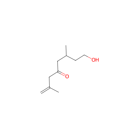 C=C(C)CC(=O)CC(C)CCO